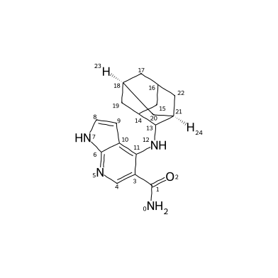 NC(=O)c1cnc2[nH]ccc2c1NC1C2CC3C[C@H](C2)C[C@H]1C3